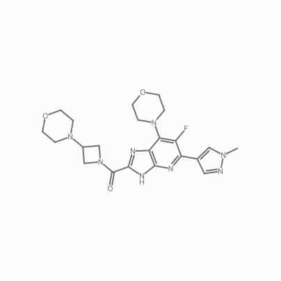 Cn1cc(-c2nc3[nH]c(C(=O)N4CC(N5CCOCC5)C4)nc3c(N3CCOCC3)c2F)cn1